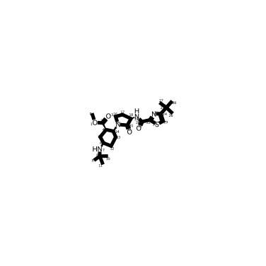 COC(=O)[C@@H]1C[C@H](NC(C)(C)C)CC[C@@H]1N1CC[C@H](NC(=O)c2nc(C(C)(C)C)cs2)C1=O